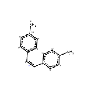 Nc1ccc(/C=C\c2ccc(N)cc2)cc1